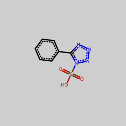 O=S(=O)(O)n1nnnc1-c1ccccc1